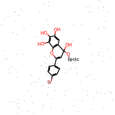 CC(=O)NOC1(O)C=C(c2ccc(Br)cc2)Oc2c1cc(O)c(O)c2O